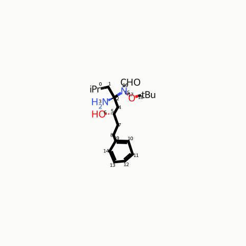 CC(C)C[C@@](N)(C[C@@H](O)CCc1ccccc1)N(C=O)OC(C)(C)C